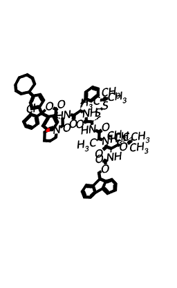 C[C@@H](OC(C)(C)C)[C@H](NC(=O)OCC1c2ccccc2-c2ccccc21)C(=O)N(C)[C@@H](C)C(=O)N[C@@H](CSSC(C)(C)C)C(=O)N[C@@H](Cc1ccccc1)C(=O)N[C@@H](CC(=O)OC(c1ccccc1)(c1ccc(C2CCCCCCC2)cc1)c1ccccc1Cl)C(=O)N1CCCCC1